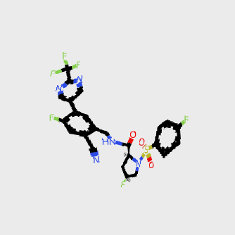 N#Cc1cc(F)c(-c2cnc(C(F)(F)F)nc2)cc1CNC(=O)[C@@H]1C[C@@H](F)CN1S(=O)(=O)c1ccc(F)cc1